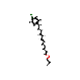 CCCOCCCCCCCCCCCCc1ccc(F)cc1